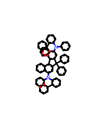 c1ccc(-c2ccccc2N(c2ccccc2)c2cc3c(c4ccccc24)-c2c(cc(N(c4ccccc4)c4ccccc4-c4ccccc4)c4c2oc2ccccc24)C3(c2ccccc2)c2ccccc2)cc1